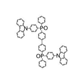 O=P(c1ccccc1)(c1ccc(-c2ccc(P(=O)(c3ccccc3)c3ccc(-n4c5ccccc5c5ccccc54)cc3)cc2)cc1)c1ccc(-n2c3ccccc3c3ccccc32)cc1